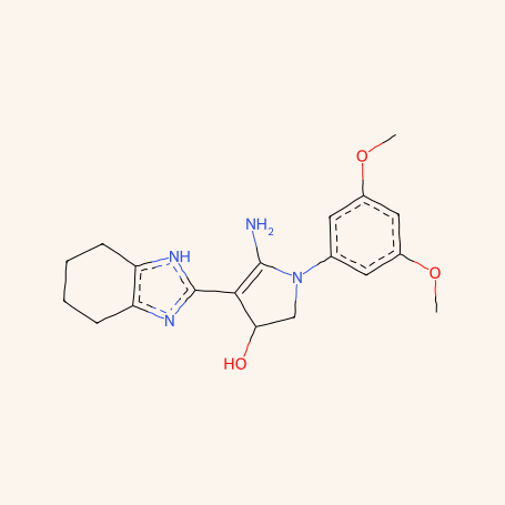 COc1cc(OC)cc(N2CC(O)C(c3nc4c([nH]3)CCCC4)=C2N)c1